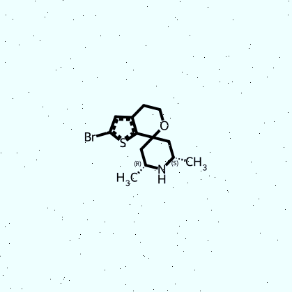 C[C@@H]1CC2(C[C@H](C)N1)OCCc1cc(Br)sc12